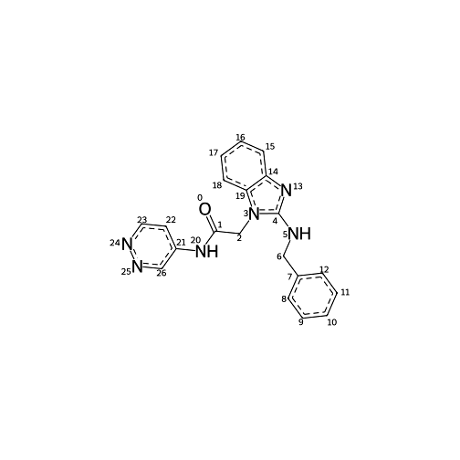 O=C(Cn1c(NCc2ccccc2)nc2ccccc21)Nc1ccnnc1